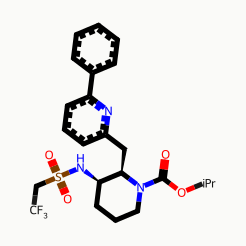 CC(C)OC(=O)N1CCC[C@@H](NS(=O)(=O)CC(F)(F)F)[C@H]1Cc1cccc(-c2ccccc2)n1